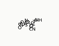 Cc1cc(C#N)cc(-c2ccnc3cc(CN4C(=O)CCC4=O)sc23)c1OCC1(C)CNC1